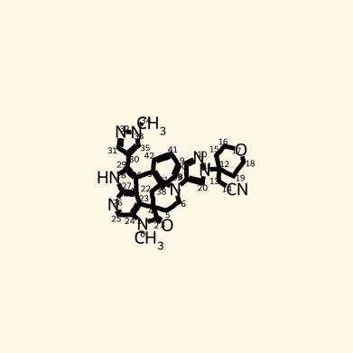 CN1C(=O)C2(CCN(c3cnn(C4(CC#N)CCOCC4)c3)CC2)c2c1cnc1[nH]c(-c3cnn(C)c3)c(-c3ccccc3)c21